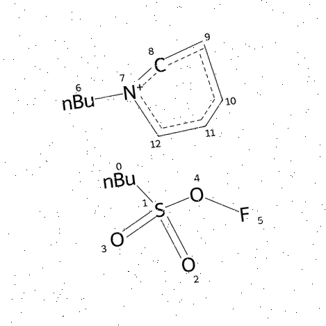 CCCCS(=O)(=O)OF.CCCC[n+]1ccccc1